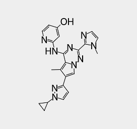 Cc1c(-c2ccn(C3CC3)n2)cn2nc(-c3nccn3C)nc(Nc3cc(O)ccn3)c12